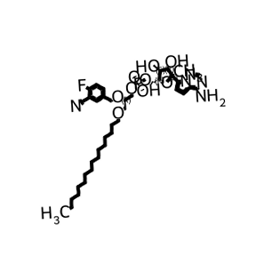 CCCCCCCCCCCCCCCCOC[C@H](COP(=O)(O)OC[C@H]1O[C@@](C)(c2ccc3c(N)ncnn23)[C@H](O)[C@@H]1O)OCc1ccc(F)c(C#N)c1